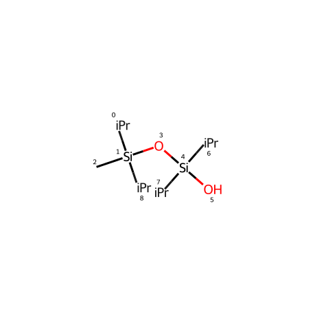 CC(C)[Si](C)(O[Si](O)(C(C)C)C(C)C)C(C)C